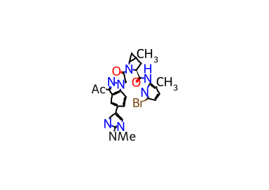 CNc1ncc(-c2ccc3c(c2)c(C(C)=O)nn3CC(=O)N2C3C[C@]3(C)C[C@H]2C(=O)Nc2nc(Br)ccc2C)cn1